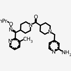 CCCON=C(c1ncccc1C)C1CCN(C(=O)C2CCN(Cc3ccnc(N)c3)CC2)CC1